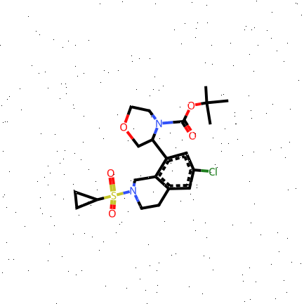 CC(C)(C)OC(=O)N1CCOCC1c1cc(Cl)cc2c1CN(S(=O)(=O)C1CC1)CC2